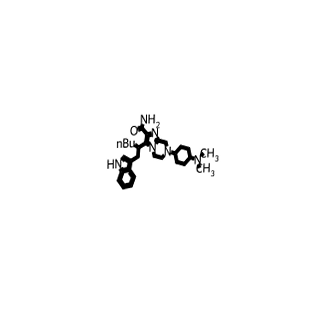 CCCCC(Cc1c[nH]c2ccccc12)c1c(C(N)=O)nc2n1CCN(C1CCC(N(C)C)CC1)C2